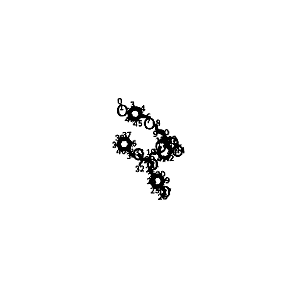 COc1ccc(COC/C=C/C(C)(C)[C@]2(OC)O[C@H](C[C@@H](OCc3ccc(OC)cc3)[C@@H](C)OCc3ccccc3)CCC2=O)cc1